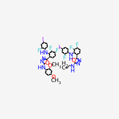 C=CCNc1nnc(-c2ccc(F)c(F)c2Nc2ccc(I)cc2F)o1.COc1ccc(Nc2nnc(-c3ccc(F)c(F)c3Nc3ccc(I)cc3F)o2)c(OC)c1